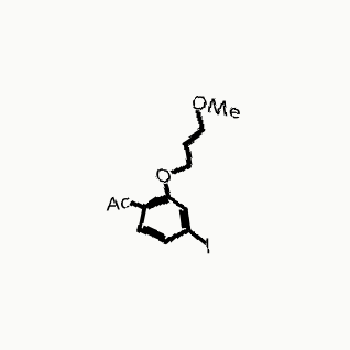 COCCCOc1cc(I)ccc1C(C)=O